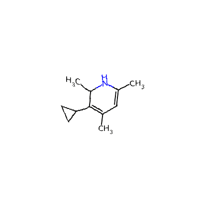 CC1=CC(C)=C(C2CC2)C(C)N1